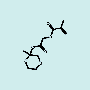 C=C(C)C(=O)OCC(=O)OC1(C)COCCO1